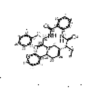 CCCC(=O)Nc1ccccc1C(=O)N[C@@H](Cc1ccccc1)C(=O)N1CC=CCC1c1cccnc1